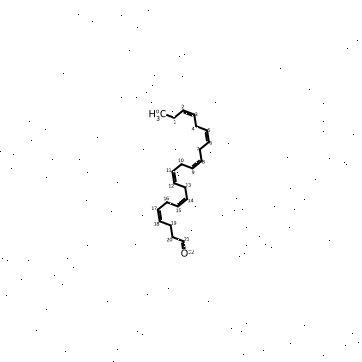 CC/C=C\C/C=C\C/C=C\C/C=C\C/C=C\C/C=C\CCC=O